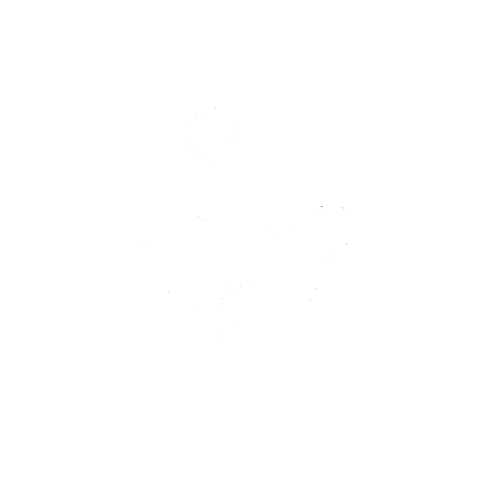 CC1C2=C(C=CCC2)c2cc(-c3cccc4c3=c3ccc(-c5cc(-c6c#cccc6)cc(C6=CCCC=C6)n5)cc3=C3C=CC=CC=4C3)ccc21